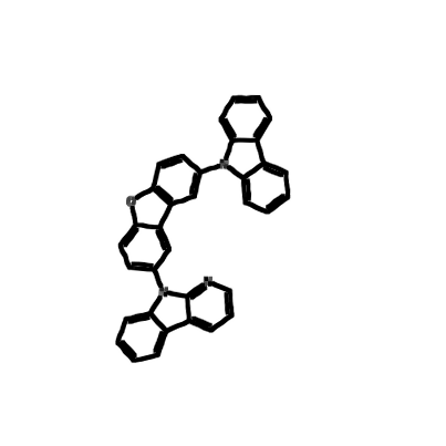 c1ccc2c(c1)c1ccccc1n2-c1ccc2oc3ccc(-n4c5ccccc5c5cccnc54)cc3c2c1